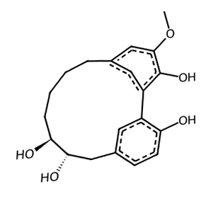 COc1cc2cc(c1O)-c1cc(ccc1O)C[C@H](O)[C@@H](O)CCCC2